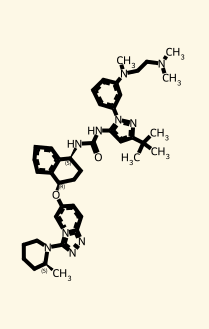 C[C@H]1CCCCN1c1nnc2ccc(O[C@@H]3CC[C@H](NC(=O)Nc4cc(C(C)(C)C)nn4-c4cccc(N(C)CCN(C)C)c4)c4ccccc43)cn12